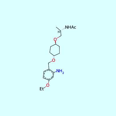 CCOc1ccc(CO[C@H]2CC[C@H](OC[C@H](C)NC(C)=O)CC2)c(N)c1